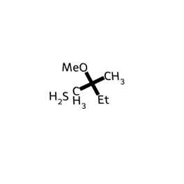 CCC(C)(C)OC.S